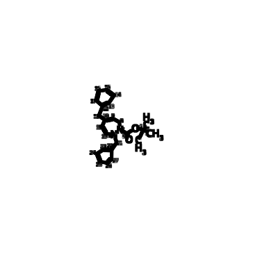 CC(C)(C)OC(=O)N1CC=C(Cc2ccccc2)C=CN1Cc1ccccc1